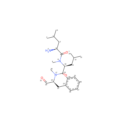 CC(C)C[C@H](N)C(=O)N(C)[C@@H](CC(C)C)C(=O)N(C)[C@H](C=O)Cc1ccccc1